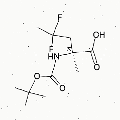 CC(F)(F)C[C@](C)(NC(=O)OC(C)(C)C)C(=O)O